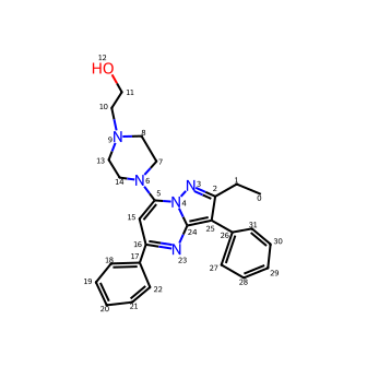 CCc1nn2c(N3CCN(CCO)CC3)cc(-c3ccccc3)nc2c1-c1ccccc1